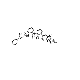 CNCc1nc2cc(-c3cccc(Nc4nccc5sc(CNC6CCCCC6)nc45)c3Cl)ccc2o1